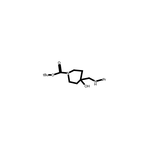 CC(C)NCC1(O)CCN(C(=O)OC(C)(C)C)CC1